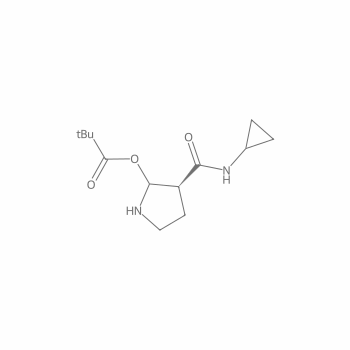 CC(C)(C)C(=O)OC1NCC[C@@H]1C(=O)NC1CC1